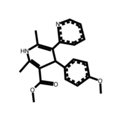 COC(=O)C1=C(C)NC(C)=C(c2ccccn2)C1c1ccc(OC)cc1